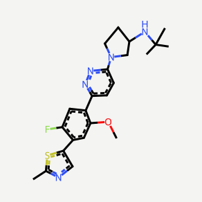 COc1cc(-c2cnc(C)s2)c(F)cc1-c1ccc(N2CCC(NC(C)(C)C)C2)nn1